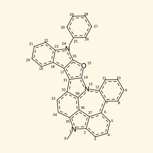 Cn1c2cccc3c4ccccc4n4c5oc6c(c7ccccc7n6-c6ccccc6)c5c5ccc1c(c32)c54